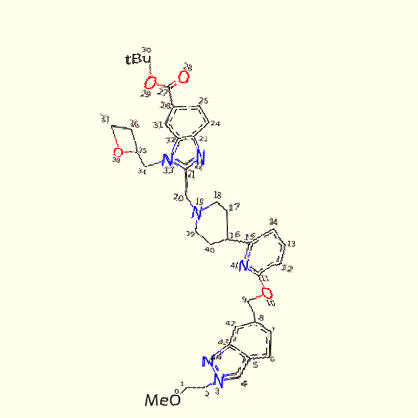 COCCn1cc2ccc(COc3cccc(C4CCN(Cc5nc6ccc(C(=O)OC(C)(C)C)cc6n5CC5CCO5)CC4)n3)cc2n1